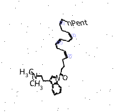 CCCCC/C=C\C/C=C\C/C=C\C/C=C\CCCC(=O)n1cc(CCN(C)C)c2ccccc21